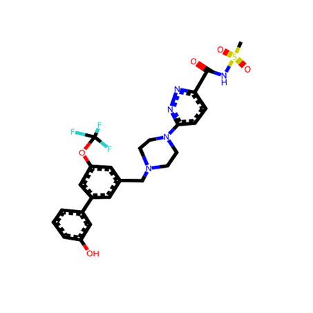 CS(=O)(=O)NC(=O)c1ccc(N2CCN(Cc3cc(OC(F)(F)F)cc(-c4cccc(O)c4)c3)CC2)nn1